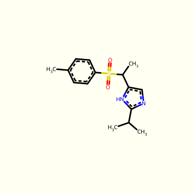 Cc1ccc(S(=O)(=O)C(C)c2cnc(C(C)C)[nH]2)cc1